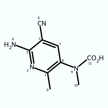 Cc1nc(N)c(C#N)cc1N(C)C(=O)O